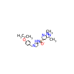 Cc1nn(C)c2ncc([S@+]([O-])N[C@@H]3CCN(Cc4ccc(OC(C)C)cc4)C3)cc12